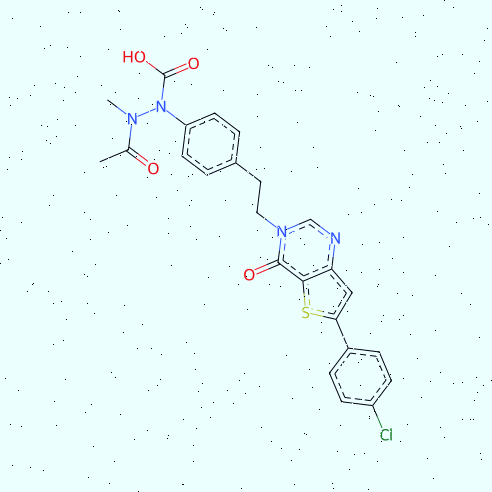 CC(=O)N(C)N(C(=O)O)c1ccc(CCn2cnc3cc(-c4ccc(Cl)cc4)sc3c2=O)cc1